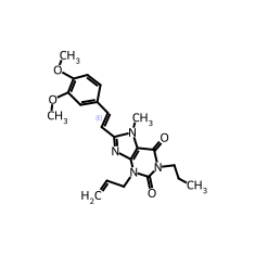 C=CCn1c(=O)n(CCC)c(=O)c2c1nc(/C=C/c1ccc(OC)c(OC)c1)n2C